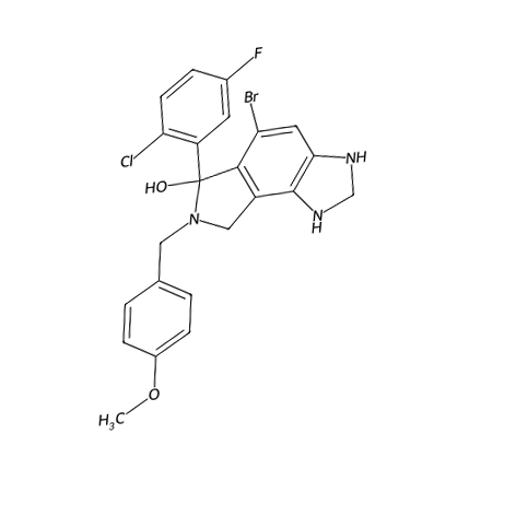 COc1ccc(CN2Cc3c4c(cc(Br)c3C2(O)c2cc(F)ccc2Cl)NCN4)cc1